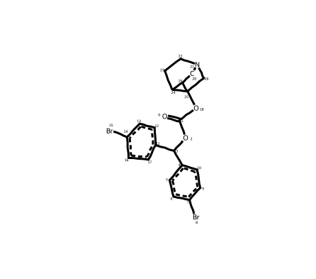 O=C(OC(c1ccc(Br)cc1)c1ccc(Br)cc1)OC1CN2CCC1CC2